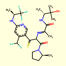 C/C(=N\C(C(=O)N1CCC[C@@H]1C)C(=S)c1cnc(N[C@@H](C)C(F)(F)F)cc1C(F)F)C(=O)N[C@H](C)C(C)(C)O